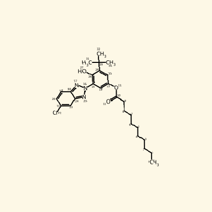 CCCCCCCCCCC(=O)Oc1cc(-n2nc3ccc(Cl)cc3n2)c(O)c(C(C)(C)C)c1